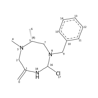 C=C1CN(C)[C@H](C)CN(Cc2ccccc2)C(Cl)N1